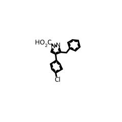 O=C(O)n1cc(-c2ccc(Cl)cc2)c(Cc2ccccc2)n1